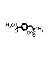 COC(=O)c1ccc(CC(C)[N+](=O)[O-])cc1